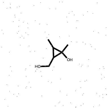 CC1C(CO)C1(C)O